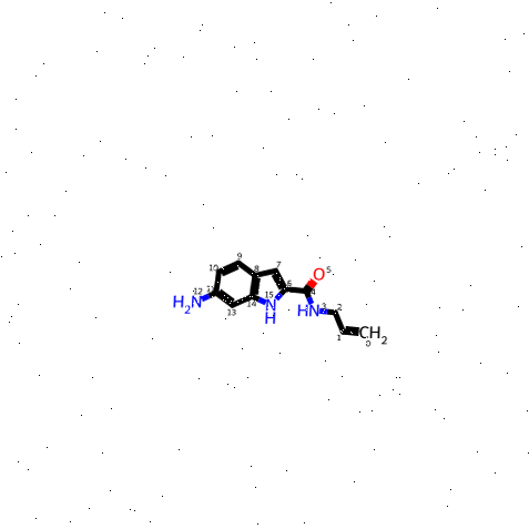 C=CCNC(=O)c1cc2ccc(N)cc2[nH]1